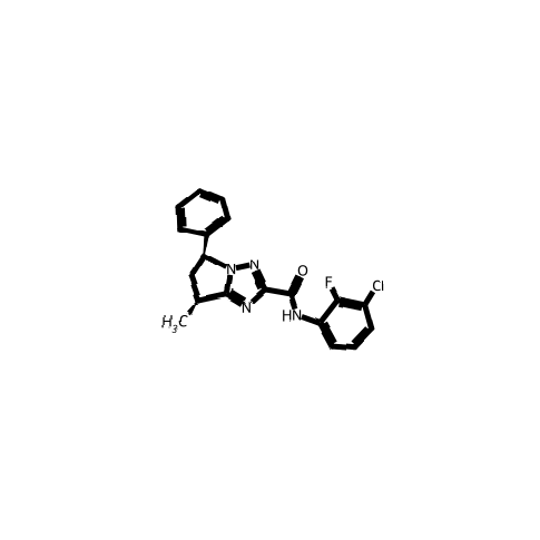 C[C@H]1C[C@@H](c2ccccc2)n2nc(C(=O)Nc3cccc(Cl)c3F)nc21